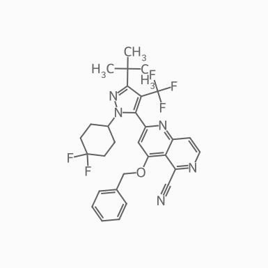 CC(C)(C)c1nn(C2CCC(F)(F)CC2)c(-c2cc(OCc3ccccc3)c3c(C#N)nccc3n2)c1C(F)(F)F